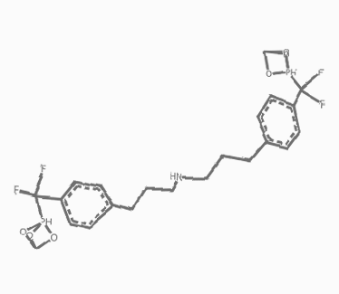 FC(F)(c1ccc(CCCNCCCc2ccc(C(F)(F)[PH]34OC(O3)O4)cc2)cc1)[PH]12OC(O1)O2